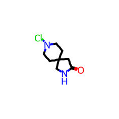 O=C1CC2(CCN(Cl)CC2)CN1